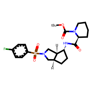 CC(C)(C)OC(=O)N1CCCC[C@H]1C(=O)N[C@@H]1CC[C@H]2CN(S(=O)(=O)c3ccc(F)cc3)C[C@H]21